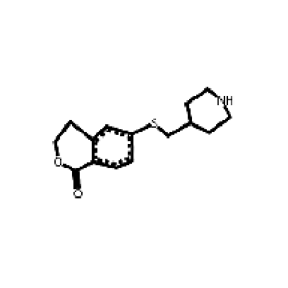 O=C1OCCc2cc(SCC3CCNCC3)ccc21